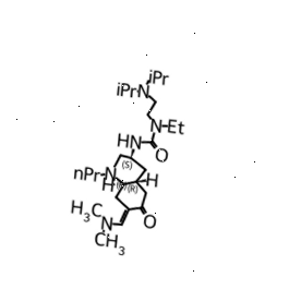 CCCN1C[C@@H](NC(=O)N(CC)CCN(C(C)C)C(C)C)C[C@@H]2CC(=O)C(=CN(C)C)C[C@H]21